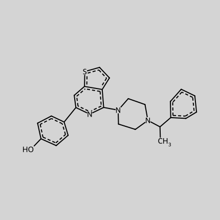 CC(c1ccccc1)N1CCN(c2nc(-c3ccc(O)cc3)cc3sccc23)CC1